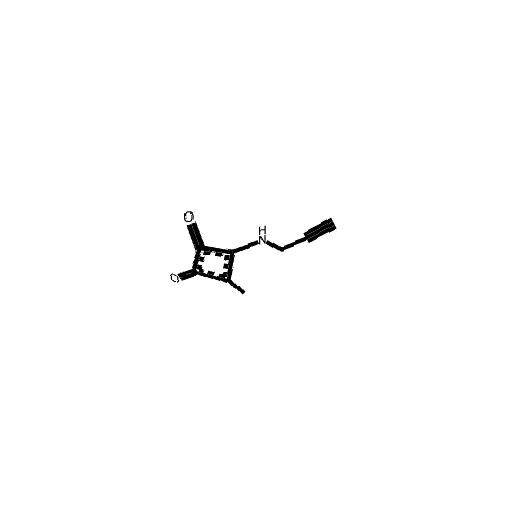 C#CCNc1c(C)c(=O)c1=O